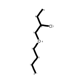 [CH2]CCCOCC(Cl)CC